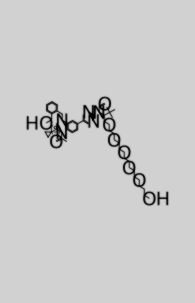 CC(=O)N1c2ccc(-c3cnc(N(C=O)C(COCCOCCOCCOCCOCCCO)C(C)(C)C)nc3)cc2N(Cc2ccccc2CO)C[C@@H]1C1CC1